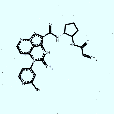 C=CC(=O)NC1CCC[C@H]1NC(=O)c1sc2nccc3c2c1[nH]c(=C)n3-c1ccnc(C(C)C)c1